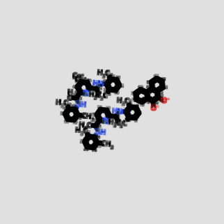 Cc1cccc(C)c1NC(C)c1cccc(C(C)Nc2c(C)cccc2C)n1.Cc1cccc(C)c1NC(C)c1cccc(C(C)Nc2c(C)cccc2C)n1.[Co+].[Co+].[O-]c1c([O-])c2ccccc2c2ccccc12